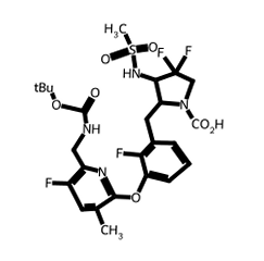 Cc1cc(F)c(CNC(=O)OC(C)(C)C)nc1Oc1cccc(CC2C(NS(C)(=O)=O)C(F)(F)CN2C(=O)O)c1F